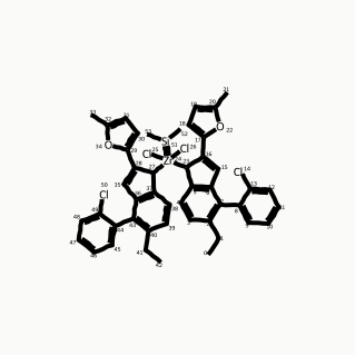 CCc1ccc2c(c1-c1ccccc1Cl)C=C(c1ccc(C)o1)[CH]2[Zr]([Cl])([Cl])([CH]1C(c2ccc(C)o2)=Cc2c1ccc(CC)c2-c1ccccc1Cl)=[Si](C)C